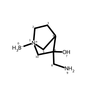 [BH3-][N+]12CCC(C1)C(O)(CN)C2